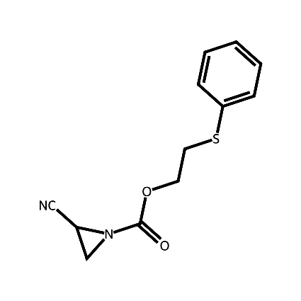 N#CC1CN1C(=O)OCCSc1ccccc1